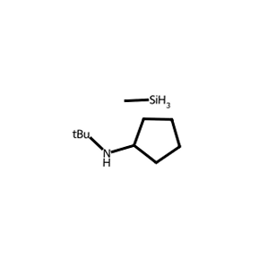 CC(C)(C)NC1CCCC1.C[SiH3]